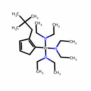 CC[N](CC)[Zr]([C]1=C(CC(C)(C)C)C=CC1)([N](CC)CC)[N](CC)CC